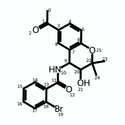 CC(=O)c1ccc2c(c1)C(NC(=O)c1ccccc1Br)C(O)C(C)(C)O2